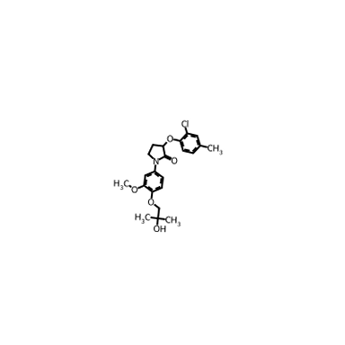 COc1cc(N2CCC(Oc3ccc(C)cc3Cl)C2=O)ccc1OCC(C)(C)O